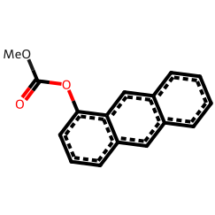 COC(=O)Oc1cccc2cc3ccccc3cc12